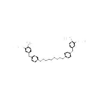 CCCCCCCCc1cc(Cc2ccc(CCCCCCCCCc3ccc(Cc4ccc(N)c(CCCCCCCC)c4)cc3)cc2)ccc1N